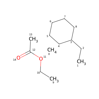 C.CCC1CCCCC1.CCOC(C)=O